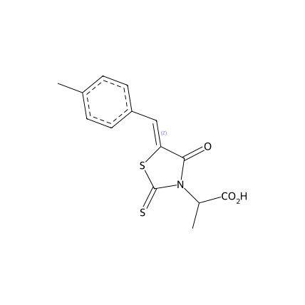 Cc1ccc(/C=C2\SC(=S)N(C(C)C(=O)O)C2=O)cc1